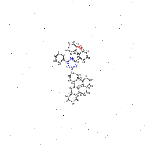 c1ccc(-c2nc(-c3ccc(-c4cc5ccccc5c5ccc6ccccc6c45)cc3)nc(-c3cccc4oc5ccccc5c34)n2)cc1